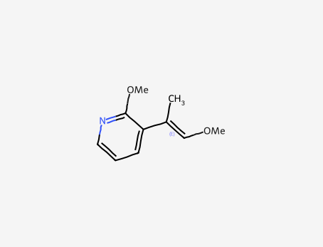 CO/C=C(\C)c1cccnc1OC